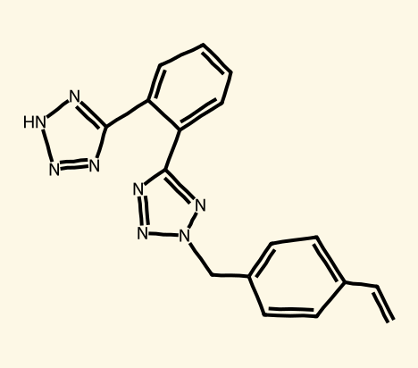 C=Cc1ccc(Cn2nnc(-c3ccccc3-c3nn[nH]n3)n2)cc1